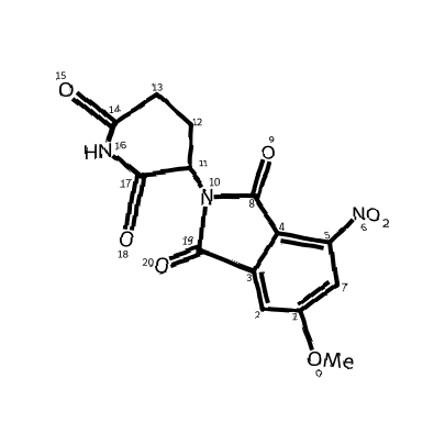 COc1cc2c(c([N+](=O)[O-])c1)C(=O)N(C1CCC(=O)NC1=O)C2=O